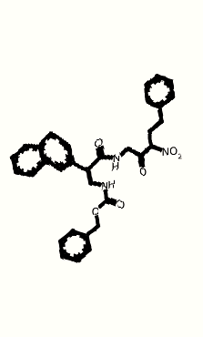 O=C(NCC(C(=O)NCC(=O)C(CCc1ccccc1)[N+](=O)[O-])c1ccc2ccccc2c1)OCc1ccccc1